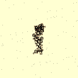 COC[C@H]1CN(c2ccc3c4c(c(=O)oc3c2C)CN(C(=O)c2cc(F)c(C(=O)NS(=O)(=O)N(C)C)c(N3C5CCC3CC5)c2)CC4)CCN1C